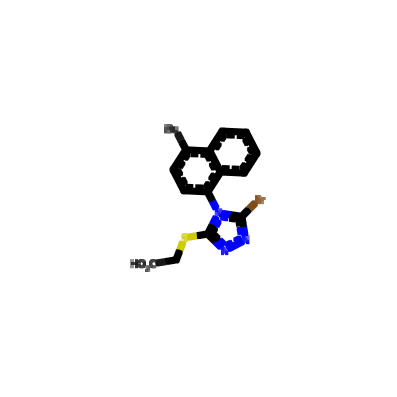 CCC(C)c1ccc(-n2c(Br)nnc2SCC(=O)O)c2ccccc12